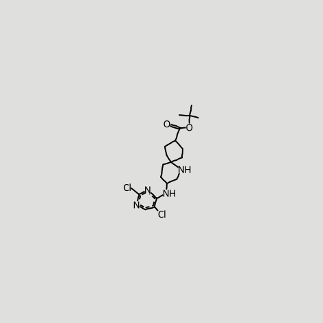 CC(C)(C)OC(=O)C1CCC2(CCC(Nc3nc(Cl)ncc3Cl)CN2)CC1